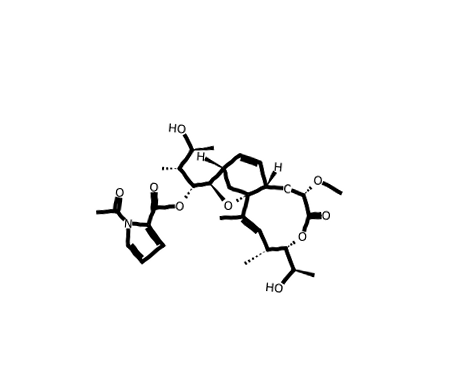 CO[C@H]1C[C@H]2C=C[C@@H]3C[C@]2(O[C@H]3[C@H](OC(=O)c2cccn2C(C)=O)[C@H](C)[C@H](C)O)/C(C)=C/[C@@H](C)[C@@H]([C@@H](C)O)OC1=O